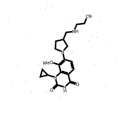 COc1c(N2CCC(CNCCC#N)C2)ccc2c(=O)[nH]c(=O)n(C3CC3)c12